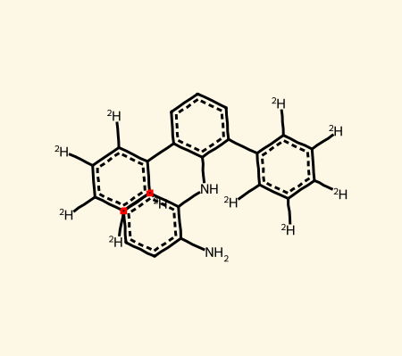 [2H]c1c([2H])c([2H])c(-c2cccc(-c3c([2H])c([2H])c([2H])c([2H])c3[2H])c2Nc2ccccc2N)c([2H])c1[2H]